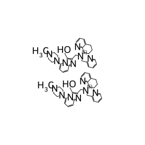 CN1CCN(c2cccc3nc(CN(Cc4ccccn4)[C@H]4CCCc5cccnc54)c(CO)n23)CC1.CN1CCN(c2cccc3nc(CN(Cc4ccccn4)[C@H]4CCCc5cccnc54)c(CO)n23)CC1